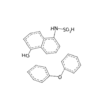 O=S(=O)(O)Nc1cccc2c(O)cccc12.c1ccc(Oc2ccccc2)cc1